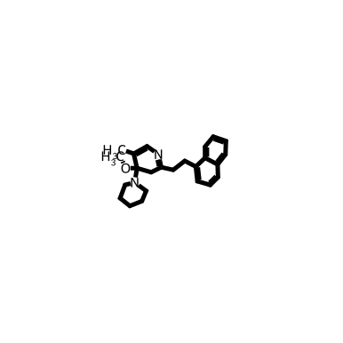 COC1(N2CCCCC2)CC(CCc2cccc3ccccc23)=NC=C1C